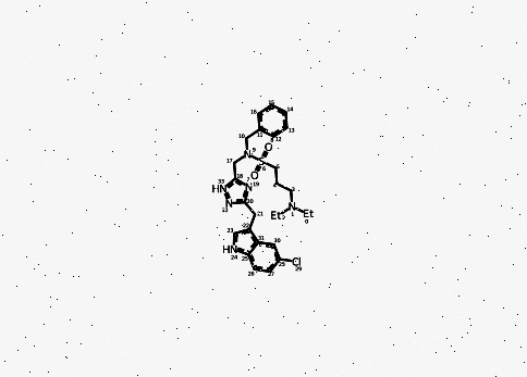 CCN(CC)CCCS(=O)(=O)N(Cc1ccccc1)Cc1nc(Cc2c[nH]c3ccc(Cl)cc23)n[nH]1